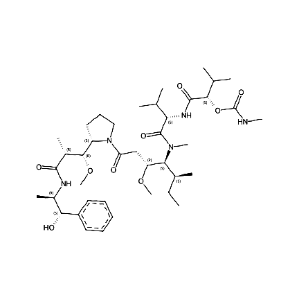 CC[C@H](C)[C@@H]([C@@H](CC(=O)N1CCC[C@H]1[C@H](OC)[C@@H](C)C(=O)N[C@H](C)[C@@H](O)c1ccccc1)OC)N(C)C(=O)[C@@H](NC(=O)[C@@H](OC(=O)NC)C(C)C)C(C)C